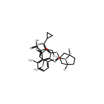 COc1cc(C(=O)O)cc2sc(N3[C@@H]4CC[C@H]3C[C@@H](OCc3c(-c5c(C)cccc5F)noc3C3CC3)C4)nc12